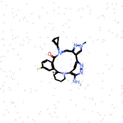 Cn1cc2c(n1)CN(C1CC1)C(=O)c1ccc(F)cc1[C@H]1CCCCN1c1cc-2nnc1N